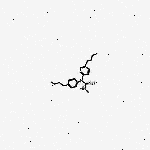 CCCCc1ccc(N(C(=N)NC)c2ccc(CCCC)cc2)cc1